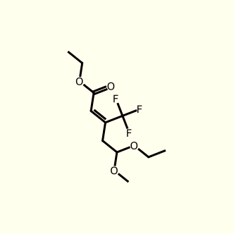 CCOC(=O)C=C(CC(OC)OCC)C(F)(F)F